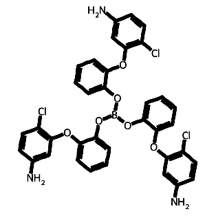 Nc1ccc(Cl)c(Oc2ccccc2OB(Oc2ccccc2Oc2cc(N)ccc2Cl)Oc2ccccc2Oc2cc(N)ccc2Cl)c1